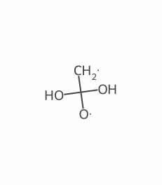 [CH2]C([O])(O)O